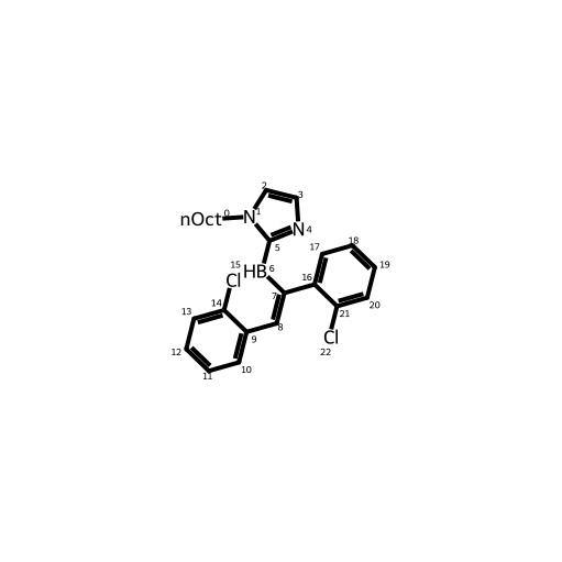 CCCCCCCCn1ccnc1BC(=Cc1ccccc1Cl)c1ccccc1Cl